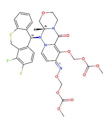 COC(=O)OCO/N=c1\ccn2c(c1OCOC(=O)OC)C(=O)N1CCOC[C@H]1N2[C@@H]1c2ccccc2SCc2c1ccc(F)c2F